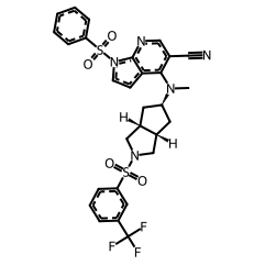 CN(c1c(C#N)cnc2c1ccn2S(=O)(=O)c1ccccc1)[C@H]1C[C@@H]2CN(S(=O)(=O)c3cccc(C(F)(F)F)c3)C[C@@H]2C1